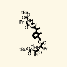 Cc1c(COC(=O)C(NC(=O)C(NC(=O)OC(C)(C)C)C(C)C)C(C)C)cccc1C(C)c1cn(C(=O)[C@@H](NC(=O)OC(C)(C)C)C(C)C)cn1